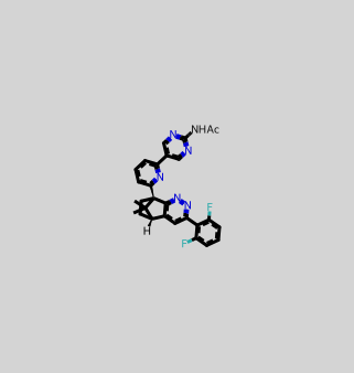 CC(=O)Nc1ncc(-c2cccc([C@@]34CC[C@@H](c5cc(-c6c(F)cccc6F)nnc53)C4(C)C)n2)cn1